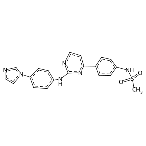 CS(=O)(=O)Nc1ccc(-c2ccnc(Nc3ccc(-n4ccnc4)cc3)n2)cc1